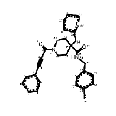 O=C(C#Cc1ccccc1)N1CCC(Cc2ccccc2)(C(=O)NCc2ccc(F)cc2)CC1